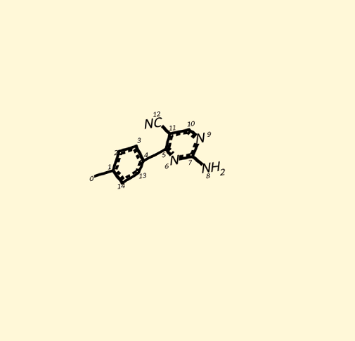 Cc1ccc(-c2nc(N)ncc2C#N)cc1